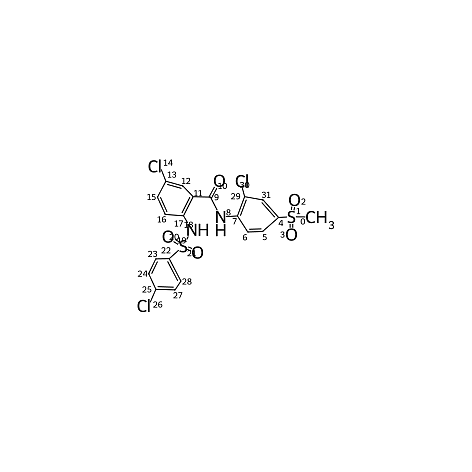 CS(=O)(=O)c1ccc(NC(=O)c2cc(Cl)ccc2NS(=O)(=O)c2ccc(Cl)cc2)c(Cl)c1